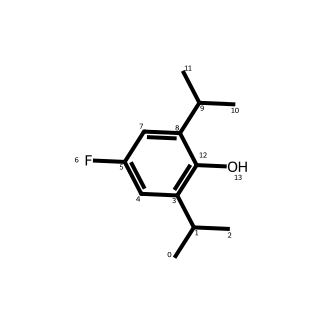 CC(C)c1cc(F)cc(C(C)C)c1O